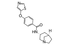 O=C(N[C@@H]1C[C@H]2CCN(C2)C1)c1ccc(Oc2cncs2)cc1